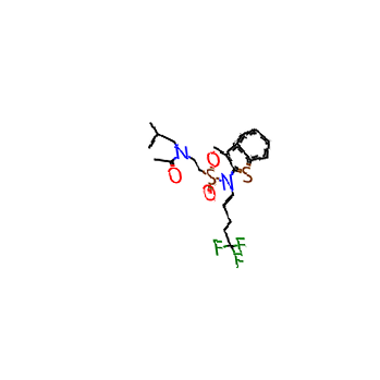 CC(=O)N(CCS(=O)(=O)N(CCCCC(F)(F)F)c1sc2ccccc2c1C)CC(C)C